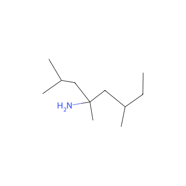 CCC(C)CC(C)(N)CC(C)C